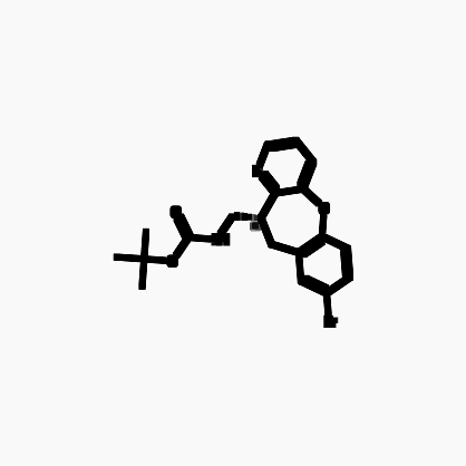 CC(C)(C)OC(=O)NC[C@H]1Cc2cc(Br)ccc2Oc2cccnc21